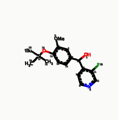 COc1cc(C(O)c2ccncc2F)ccc1O[Si](C)(C)C(C)(C)C